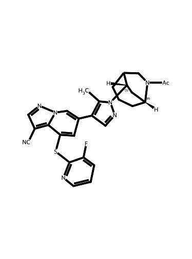 CC(=O)N1CC2CCC[C@@H]1C[C@@H]2n1ncc(-c2cc(Sc3ncccc3F)c3c(C#N)cnn3c2)c1C